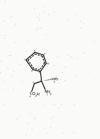 CCC[C@](N)(CC(=O)O)c1ccccc1